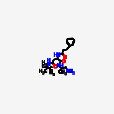 CC(CN)NC(=O)C(CC(=O)NC(C)(C)C)NC(=O)CCc1ccccc1